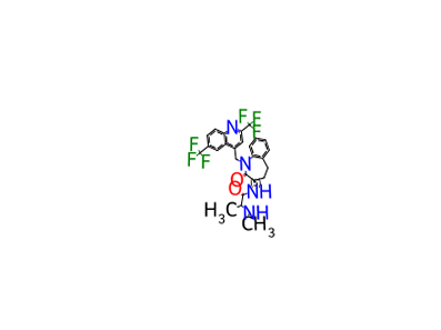 CNC(C)C(=O)N[C@H]1CCc2ccccc2N(Cc2cc(C(F)(F)F)nc3ccc(C(F)(F)F)cc23)C1=O